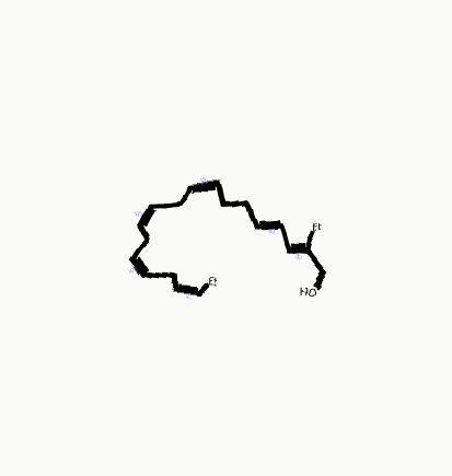 CC/C=C\C/C=C\C/C=C\C/C=C\CC/C=C/C=C(\CC)CO